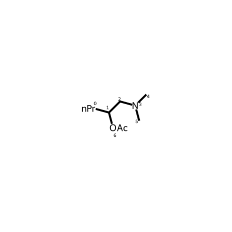 CCCC(CN(C)C)OC(C)=O